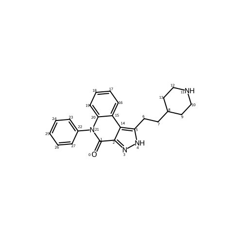 O=c1c2n[nH]c(CCC3CCNCC3)c2c2ccccc2n1-c1ccccc1